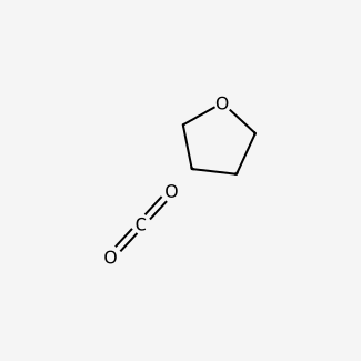 C1CCOC1.O=C=O